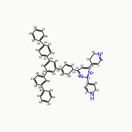 C1=CC(c2nc(C3=CC=NCC3)cc(C3C=CC(c4cc(-c5ccc(-c6ccccc6)cc5)cc(-c5cccc(-c6ccccc6)c5)c4)=CC3)n2)=CCN1